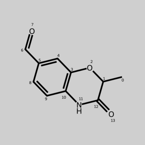 CC1Oc2cc(C=O)ccc2NC1=O